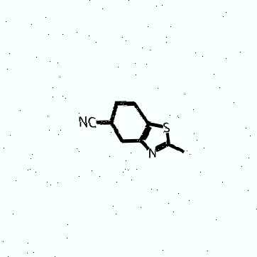 Cc1nc2c(s1)CCC(C#N)C2